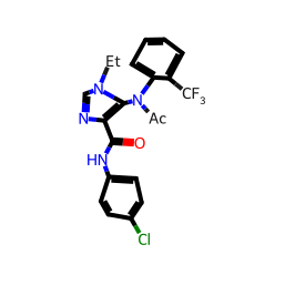 CCn1cnc(C(=O)Nc2ccc(Cl)cc2)c1N(C(C)=O)c1ccccc1C(F)(F)F